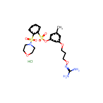 Cc1cc(OCCCON=C(N)N)cc(OS(=O)(=O)c2ccccc2S(=O)(=O)N2CCOCC2)c1.Cl